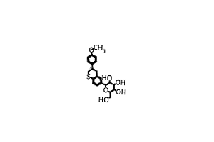 COc1ccc([C@@H]2CSc3ccc(C4OC(CO)C(O)C(O)C4O)cc3C2)cc1